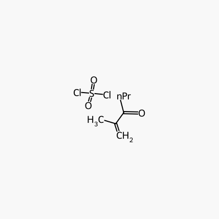 C=C(C)C(=O)CCC.O=S(=O)(Cl)Cl